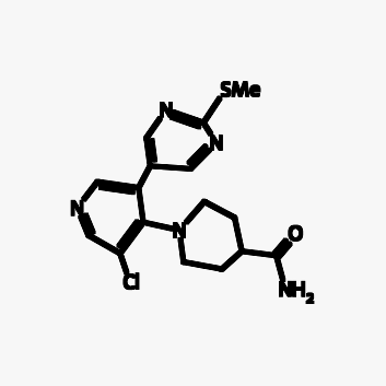 CSc1ncc(-c2cncc(Cl)c2N2CCC(C(N)=O)CC2)cn1